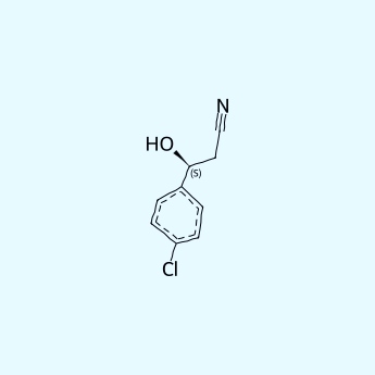 N#CC[C@H](O)c1ccc(Cl)cc1